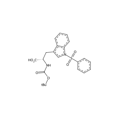 CC(C)(C)OC(=O)N[C@@H](Cc1cn(S(=O)(=O)c2ccccc2)c2ccccc12)C(=O)O